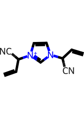 C=CC(C#N)n1cc[n+](C(C#N)C=C)c1